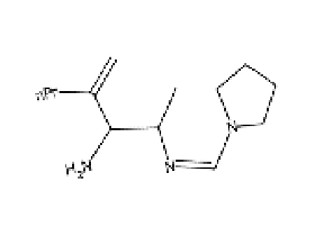 C=C(CCC)C(N)C(C)/N=C\N1CCCC1